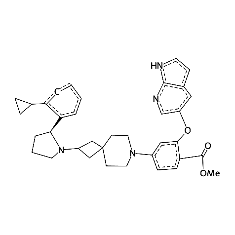 COC(=O)c1ccc(N2CCC3(CC2)CC(N2CCC[C@H]2c2ccccc2C2CC2)C3)cc1Oc1cnc2[nH]ccc2c1